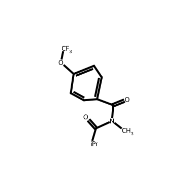 CC(C)C(=O)N(C)C(=O)c1ccc(OC(F)(F)F)cc1